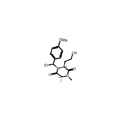 CCC(c1ccc(OC)cc1)N1C(=O)[C@@H](C)N(C)C(=O)[C@@H]1CCC#N